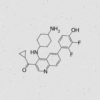 NC1CCC(Nc2c(C(=O)C3CC3)cnc3ccc(-c4ccc(O)c(F)c4F)cc23)CC1